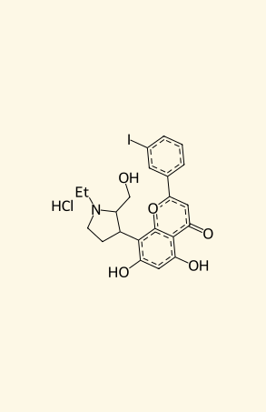 CCN1CCC(c2c(O)cc(O)c3c(=O)cc(-c4cccc(I)c4)oc23)C1CO.Cl